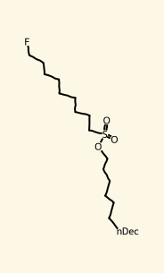 CCCCCCCCCCCCCCCCOS(=O)(=O)CCCCCCCCCF